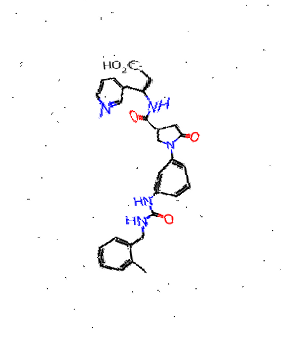 Cc1ccccc1CNC(=O)Nc1cccc(N2CC(C(=O)NC(CC(=O)O)c3cccnc3)CC2=O)c1